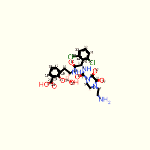 NCCN1CCN(C(=O)N[C@H](C(=O)N[C@H]2Cc3cccc(C(=O)O)c3OB2O)c2c(Cl)cccc2Cl)C(=O)C1=O